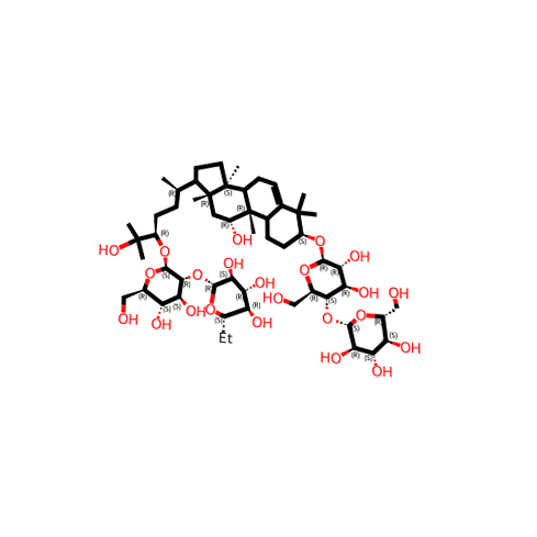 CC[C@@H]1O[C@H](O[C@H]2[C@H](O[C@H](CC[C@@H](C)C3CC[C@@]4(C)C5CC=C6C(CC[C@H](O[C@@H]7O[C@H](CO)[C@@H](O[C@@H]8O[C@H](CO)[C@@H](O)[C@H](O)[C@H]8O)[C@H](O)[C@H]7O)C6(C)C)[C@]5(C)[C@H](O)C[C@]34C)C(C)(C)O)O[C@H](CO)[C@@H](O)[C@@H]2O)[C@@H](O)[C@H](O)[C@H]1O